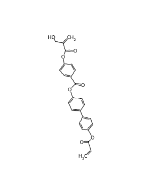 C=CC(=O)Oc1ccc(-c2ccc(OC(=O)c3ccc(OC(=O)C(=C)CO)cc3)cc2)cc1